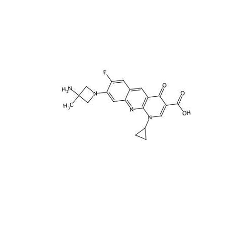 CC1(N)CN(c2cc3nc4c(cc3cc2F)c(=O)c(C(=O)O)cn4C2CC2)C1